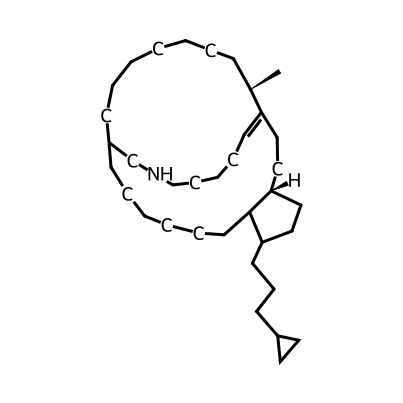 C[C@@H]1CCCCCCCC2CCCCCCC3C(CCCC4CC4)CC[C@H]3CC/C1=C/CCCCNC2